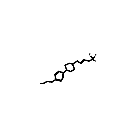 CCCCc1ccc(C2CCC(C/C=C/CC(F)(F)F)CC2)cc1